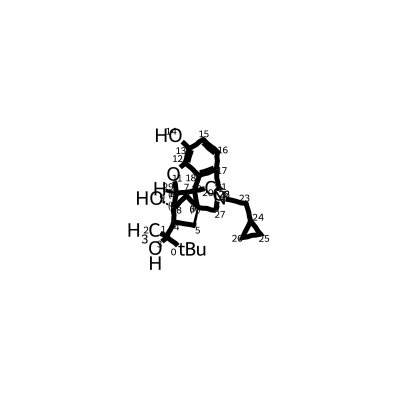 CC(C)(C)C(C)(O)C1C[C@@]23C[C@]1(O)[C@@H]1Oc4c(O)ccc5c4C12CCN(CC1CC1)C3C5